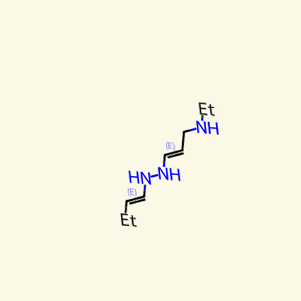 CC/C=C/NN/C=C/CNCC